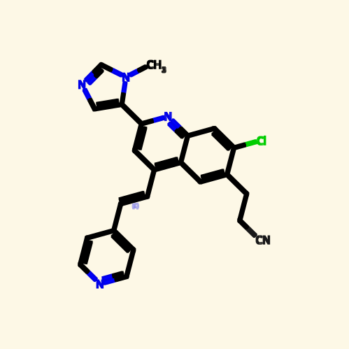 Cn1cncc1-c1cc(/C=C/c2ccncc2)c2cc(CCC#N)c(Cl)cc2n1